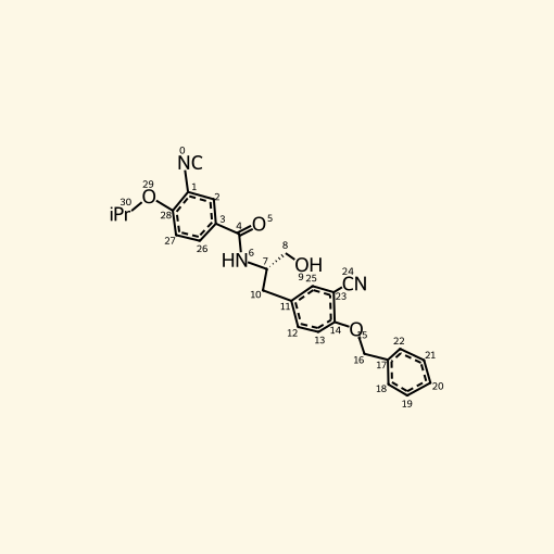 [C-]#[N+]c1cc(C(=O)N[C@H](CO)Cc2ccc(OCc3ccccc3)c(C#N)c2)ccc1OC(C)C